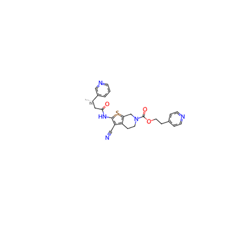 C[C@@H](CC(=O)Nc1sc2c(c1C#N)CCN(C(=O)OCCc1ccncc1)C2)c1cccnc1